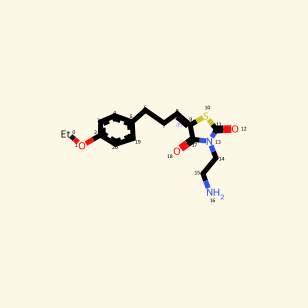 CCOc1ccc(CC/C=C2/SC(=O)N(CCN)C2=O)cc1